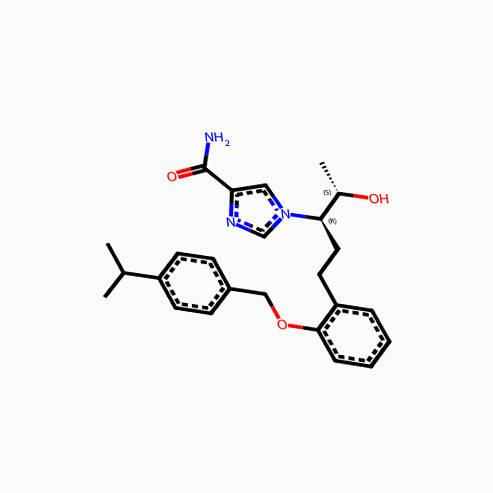 CC(C)c1ccc(COc2ccccc2CC[C@H]([C@H](C)O)n2cnc(C(N)=O)c2)cc1